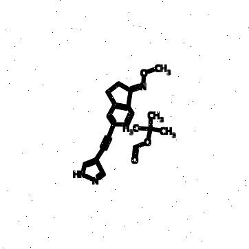 CC(C)(C)OC=O.CON=C1CCc2cc(C#Cc3cn[nH]c3)ccc21